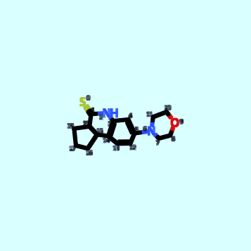 S=C1Nc2cc(N3CCOCC3)ccc2C2CCCC12